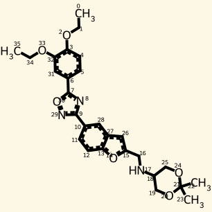 CCOc1ccc(-c2nc(-c3ccc4oc(CNC5COC(C)(C)OC5)cc4c3)no2)cc1OCC